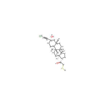 CSCC(=O)[C@H]1CC[C@H]2[C@@H]3CC[C@H]4C[C@](O)(C#CCl)CC[C@@H]4[C@H]3CC[C@]12C